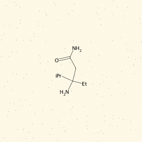 CCC(N)(CC(N)=O)C(C)C